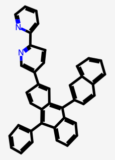 c1ccc(-c2c3ccccc3c(-c3ccc4ccccc4c3)c3cc(-c4ccc(-c5ccccn5)nc4)ccc23)cc1